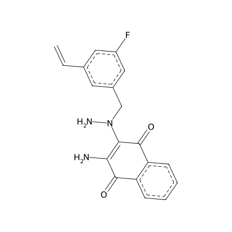 C=Cc1cc(F)cc(CN(N)C2=C(N)C(=O)c3ccccc3C2=O)c1